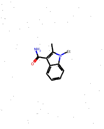 CCn1c(C)c(C(N)=O)c2ccccc21